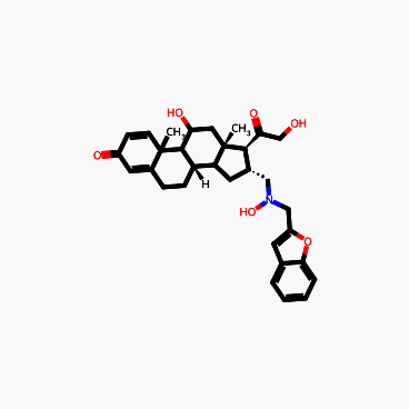 CC12C=CC(=O)C=C1CC[C@@H]1C2C(O)C[C@@]2(C)C1C[C@@H](CN(O)Cc1cc3ccccc3o1)[C@@H]2C(=O)CO